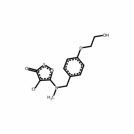 CN(Cc1ccc(OCCO)cc1)c1ssc(=O)c1Cl